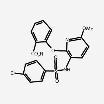 COc1ccc(NS(=O)(=O)c2ccc(Cl)cc2)c(Oc2ccccc2C(=O)O)n1